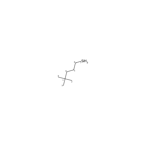 CC(C)(C)CC[CH][SiH3]